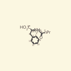 CCCC(N)=O.NC(Cc1ccccc1)C(=O)O